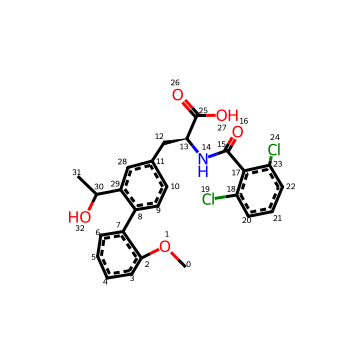 COc1ccccc1-c1ccc(C[C@H](NC(=O)c2c(Cl)cccc2Cl)C(=O)O)cc1C(C)O